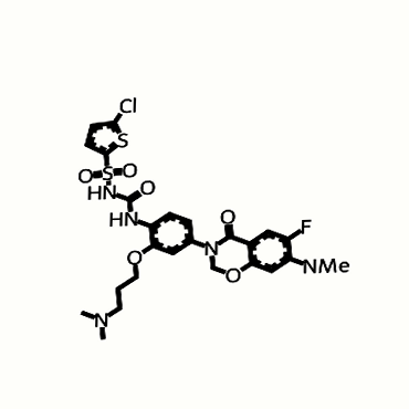 CNc1cc2c(cc1F)C(=O)N(c1ccc(NC(=O)NS(=O)(=O)c3ccc(Cl)s3)c(OCCCN(C)C)c1)CO2